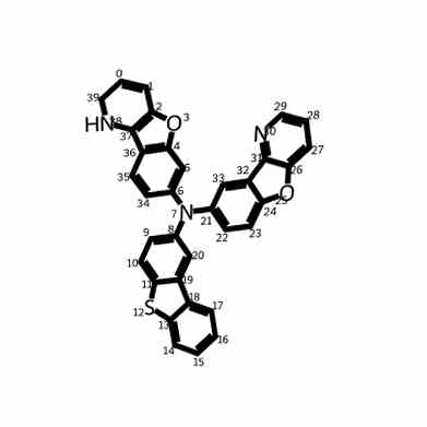 C1=Cc2oc3cc(N(c4ccc5sc6ccccc6c5c4)c4ccc5oc6cccnc6c5c4)ccc3c2NC1